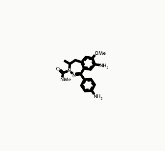 CNC(=O)N1N=C(c2ccc(N)cc2)c2cc(N)c(OC)cc2CC1C